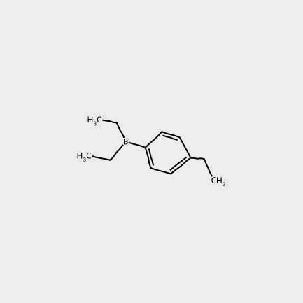 CCB(CC)c1ccc(CC)cc1